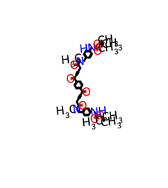 CN(Cc1ccc(NC(=O)OC(C)(C)C)cc1)C(=O)CC#CC(=O)c1ccc(C(=O)C#CCC(=O)N(C)Cc2ccc(NC(=O)OC(C)(C)C)cc2)cc1